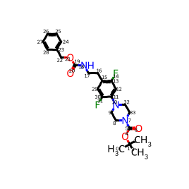 CC(C)(C)OC(=O)N1CCN(c2cc(F)c(CCNC(=O)OCc3ccccc3)cc2F)CC1